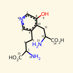 NC(CCc1cncc(O)c1CC(N)C(=O)O)C(=O)O